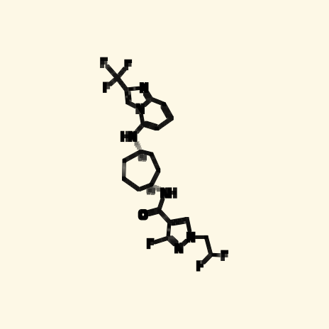 O=C(N[C@@H]1CCC[C@H](Nc2cccc3nc(C(F)(F)F)cn23)CC1)c1cn(CC(F)F)nc1F